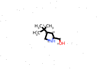 CC(C)(C)C1CNC(CO)C1